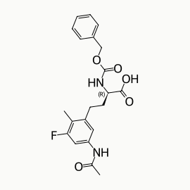 CC(=O)Nc1cc(F)c(C)c(CC[C@@H](NC(=O)OCc2ccccc2)C(=O)O)c1